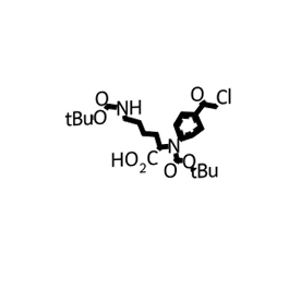 CC(C)(C)OC(=O)NCCCCC(C(=O)O)N(C(=O)OC(C)(C)C)c1ccc(C(=O)CCl)cc1